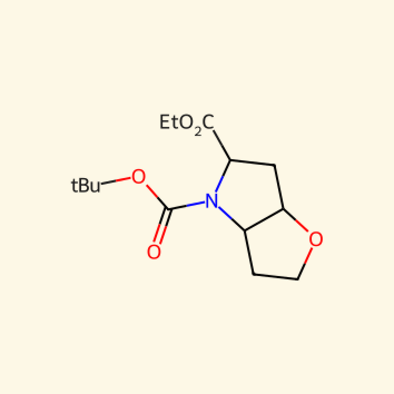 CCOC(=O)C1CC2OCCC2N1C(=O)OC(C)(C)C